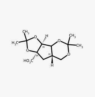 CC1(C)OC[C@@H]2C[C@@]3(C(=O)O)OC(C)(C)O[C@H]3C2O1